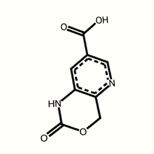 O=C1Nc2cc(C(=O)O)cnc2CO1